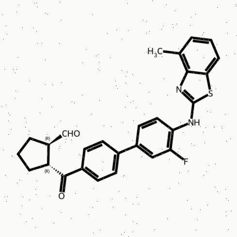 Cc1cccc2sc(Nc3ccc(-c4ccc(C(=O)[C@@H]5CCC[C@H]5C=O)cc4)cc3F)nc12